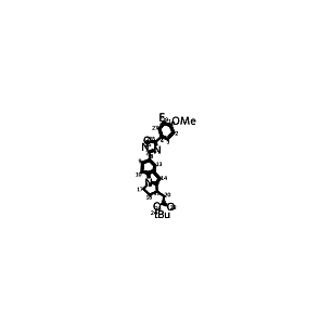 COc1ccc(-c2nc(-c3ccc4c(c3)cc3n4CCC3CC(=O)OC(C)(C)C)no2)cc1F